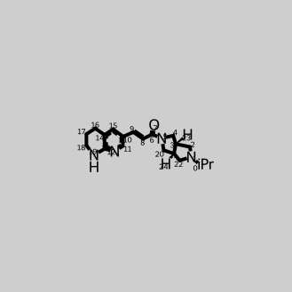 CC(C)N1C[C@H]2CN(C(=O)/C=C/c3cnc4c(c3)CCCN4)C[C@H]2C1